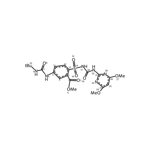 COC(=O)c1cc(NC(=O)NC(C)(C)C)ccc1S(=O)(=O)NC(=O)Nc1nc(OC)cc(OC)n1